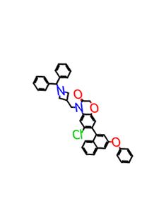 O=C1COc2cc(-c3cc(Oc4ccccc4)cc4ccccc34)c(Cl)cc2N1CC1CN(C(c2ccccc2)c2ccccc2)C1